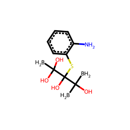 BC(B)(O)C(O)(Sc1ccccc1N)C(B)(O)O